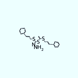 C=C(SC/C=C/c1ccccc1)S/C(=N\N)SC/C=C/c1ccccc1